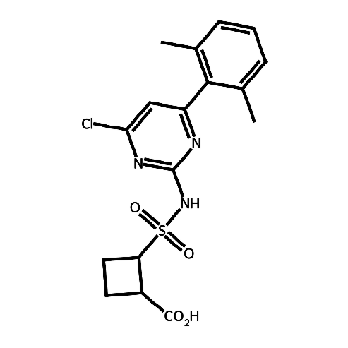 Cc1cccc(C)c1-c1cc(Cl)nc(NS(=O)(=O)C2CCC2C(=O)O)n1